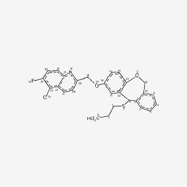 O=C(O)CCSC1c2ccccc2COc2ccc(OCc3ccc4c(Cl)c(F)ccc4n3)cc21